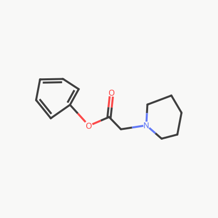 O=C(CN1CCCCC1)Oc1ccccc1